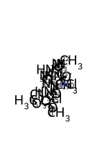 COc1cc(OC)c(Cl)c(NC(=O)N(C)c2cc(Nc3nn(C)cc3NC(=O)/C=C\Cl)ncn2)c1Cl